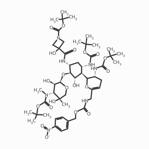 CN(C(=O)OC(C)(C)C)[C@@H]1[C@@H](O)[C@@H](O[C@@H]2[C@@H](O)[C@H](C3OC(CNC(=O)OCc4ccc([N+](=O)[O-])cc4)=CC[C@H]3NC(=O)OC(C)(C)C)[C@@H](NC(=O)OC(C)(C)C)C[C@H]2NC(=O)C2(O)CN(C(=O)OC(C)(C)C)C2)OC[C@]1(C)O